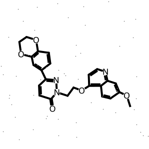 COc1ccc2c(OCCn3nc(-c4ccc5c(c4)OCCO5)ccc3=O)ccnc2c1